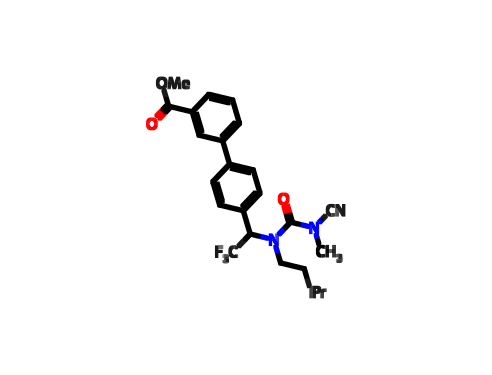 COC(=O)c1cccc(-c2ccc(C(N(CCC(C)C)C(=O)N(C)C#N)C(F)(F)F)cc2)c1